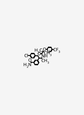 CC(NC(=O)C(C)(C)Oc1ccc(C(F)(F)F)cn1)C(Cc1ccc(Cl)cc1)c1cccc(C(N)=O)c1